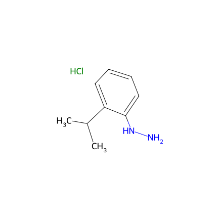 CC(C)c1ccccc1NN.Cl